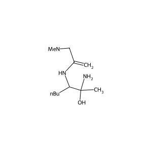 C=C(CNC)NC(CCCC)C(C)(N)O